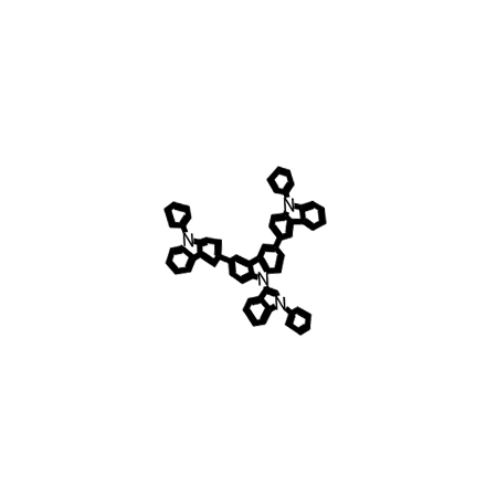 c1ccc(-n2cc(-n3c4ccc(-c5ccc6c(c5)c5ccccc5n6-c5ccccc5)cc4c4cc(-c5ccc6c(c5)c5ccccc5n6-c5ccccc5)ccc43)c3ccccc32)cc1